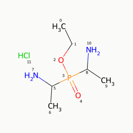 CCOP(=O)(C(C)N)C(C)N.Cl